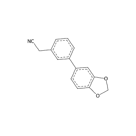 N#CCc1cccc(-c2ccc3c(c2)OCO3)c1